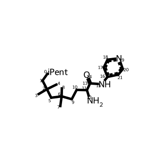 CCCC(C)CC(C)(C)CC(C)(C)CCC(N)C(=O)Nc1ccncc1